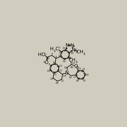 Cc1c(C(CC(=O)O)c2ccc3c(c2)C(N2Cc4ccccc4O[C@H](C)C2)CCC3)ccc2c1nnn2C